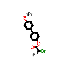 CCCOc1ccc(-c2ccc(OC(=O)C(Br)C(C)C)cc2)cc1